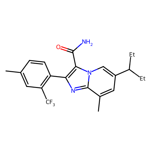 CCC(CC)c1cc(C)c2nc(-c3ccc(C)cc3C(F)(F)F)c(C(N)=O)n2c1